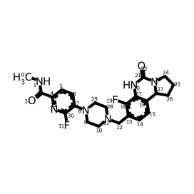 CNC(=O)c1ccc(N2CCN(Cc3ccc4c(c3F)NC(=O)N3CCCC43)CC2)c(F)n1